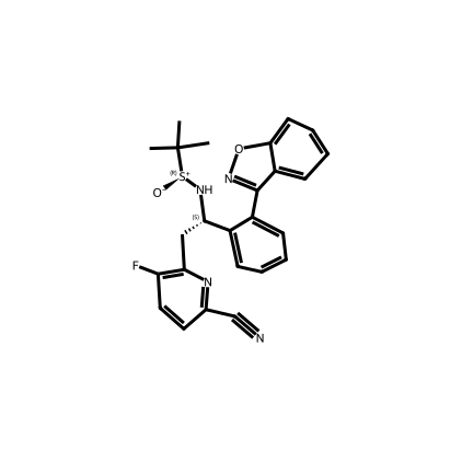 CC(C)(C)[S@+]([O-])N[C@@H](Cc1nc(C#N)ccc1F)c1ccccc1-c1noc2ccccc12